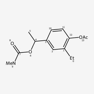 CCc1cc(C(C)OC(=O)NC)ccc1OC(C)=O